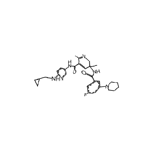 CC1=NCC(C)(NC(=O)c2cc(F)cc(N3CCCCC3)c2)C=C1C(=O)Nc1ccc(NCC2CC2)nc1